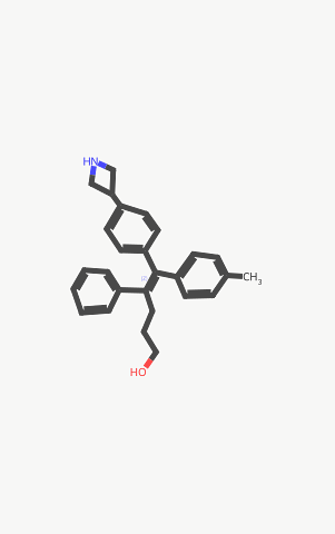 Cc1ccc(/C(=C(\CCCO)c2ccccc2)c2ccc(C3CNC3)cc2)cc1